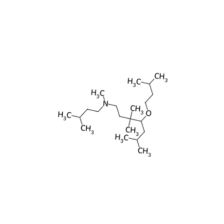 CC(C)CCOC(CC(C)C)C(C)(C)CCN(C)CCC(C)C